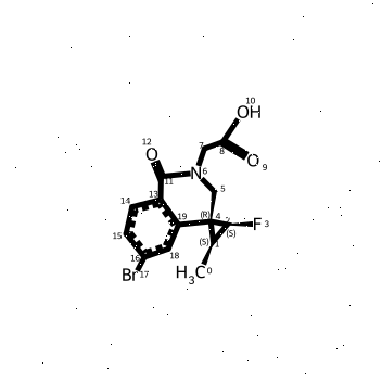 C[C@@H]1[C@H](F)[C@]12CN(CC(=O)O)C(=O)c1ccc(Br)cc12